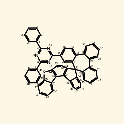 c1ccc(-c2nc(-c3ccccc3)nc(-c3ccc4c(c3)C3(c5ccccc5-c5ccccc5-4)c4ccccc4-c4c3ccc3sc5ccccc5c43)n2)cc1